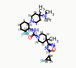 CC(C)N(C)C1(C)CCN([C@H]2CCCC(F)(F)[C@@H]2NC(=O)N2CCC(C)(c3noc([C@@H]4C[C@@H]4F)n3)CC2)CC1